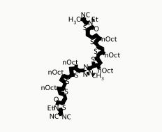 [C-]#[N+]/C(C#N)=c1\s/c(=C/c2cc(CCCCCCCC)c(-c3cc(CCCCCCCC)c(-c4cc(CCCCCCCC)c(-c5nc(-c6sc(-c7sc(-c8sc(/C=c9/s/c(=C(\C)[N+]#[C-])n(CC)c9=O)cc8CCCCCCCC)cc7CCCCCCCC)cc6CCCCCCCC)n(C)n5)s4)s3)s2)c(=O)n1CC